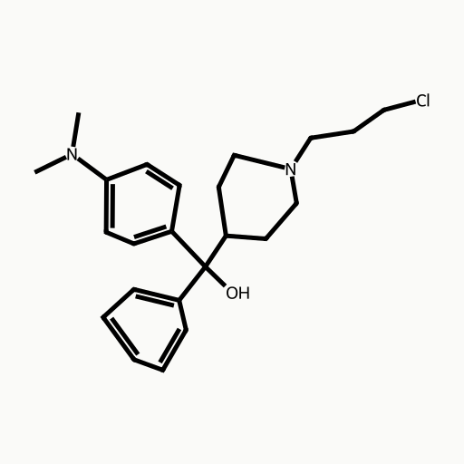 CN(C)c1ccc(C(O)(c2ccccc2)C2CCN(CCCCl)CC2)cc1